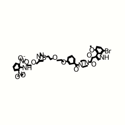 COc1ccc(Br)c2[nH]cc(C(=O)C(=O)N3CCN(C(=O)c4cccc(OCCOCCB5C=C(COCCNc6c([N+](=O)[O-])cccc6[N+](=O)[O-])N=N5)c4)CC3)c12